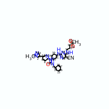 Cn1cc(-c2ccc(N(C(=O)NCc3ccccc3)C3CCC(Nc4ncc(C#N)c(NCCCS(C)(=O)=O)n4)CC3)nc2)cn1